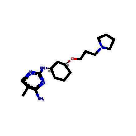 Cc1cnc(N[C@H]2CCC[C@@H](OCCCN3CCCC3)C2)nc1N